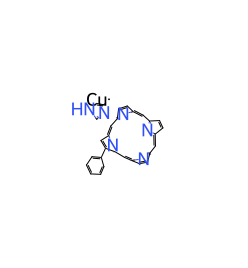 C1=CC2=NC1=CC1=NC(=CC3=NC(=CC4=NC(=C2)C=C4)C=C3c2ccccc2)C=C1.[Cu].c1c[nH]cn1